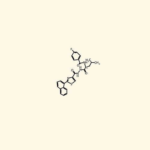 CC(C)C[C@H](NC(=O)c1ccc(F)cc1)C(=O)NNC(=O)c1csc(-c2cccc3ccccc23)n1